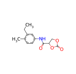 CCc1cc(NC(=O)C2COC(=O)O2)ccc1C